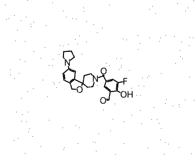 O=Cc1cc(C(=O)N2CCC3(CC2)OCc2ccc(N4CCCC4)cc23)cc(F)c1O